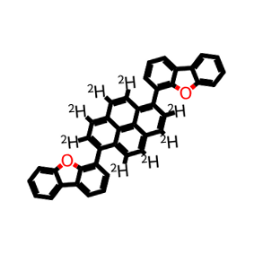 [2H]c1c([2H])c2c([2H])c([2H])c3c(-c4cccc5c4oc4ccccc45)c([2H])c([2H])c4c([2H])c([2H])c(c1-c1cccc5c1oc1ccccc15)c2c43